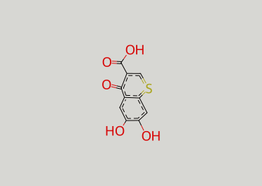 O=C(O)c1csc2cc(O)c(O)cc2c1=O